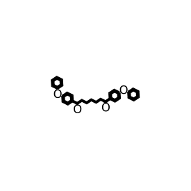 O=C(CCCCCC(=O)c1ccc(Oc2ccccc2)cc1)c1ccc(Oc2ccccc2)cc1